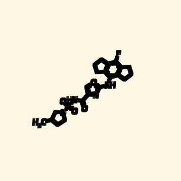 CC1CCN(S(=O)(=O)NC(=O)c2coc(Nc3c4c(c(F)c5c3CCC5)CCC4)n2)C1